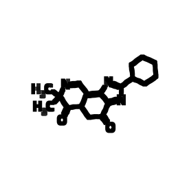 CC1(C)N=CC2=C3N=C(C4CCCCC4)N=C3C(=O)CC2C1=O